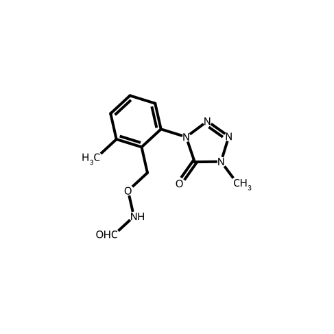 Cc1cccc(-n2nnn(C)c2=O)c1CONC=O